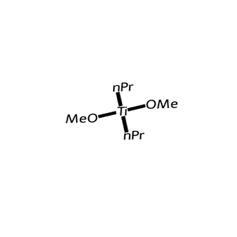 CC[CH2][Ti]([CH2]CC)([O]C)[O]C